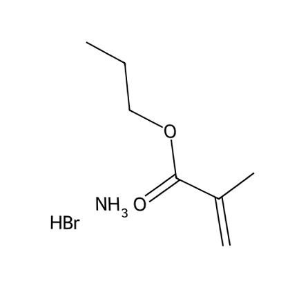 Br.C=C(C)C(=O)OCCC.N